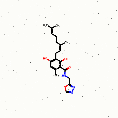 CCCCCc1cc(O)c(CC=C(C)CCC=C(C)C)c(O)c1C(=O)NCc1nnco1